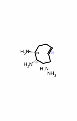 N.N.N[C@@H]1CC/C=C/CC[C@@H]1N